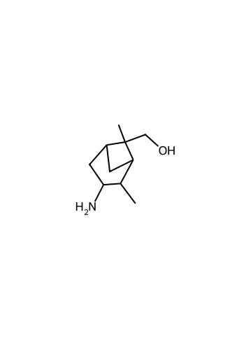 CC1C(N)CC2CC1C2(C)CO